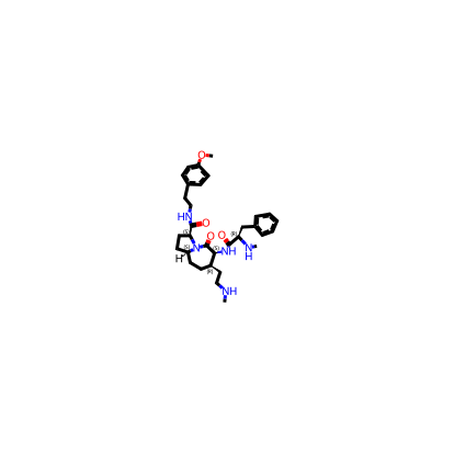 CNCC[C@H]1CC[C@H]2CC[C@@H](C(=O)NCCc3ccc(OC)cc3)N2C(=O)[C@H]1NC(=O)[C@@H](Cc1ccccc1)NC